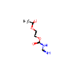 CC(=O)OCCOC(=O)N[C]=N